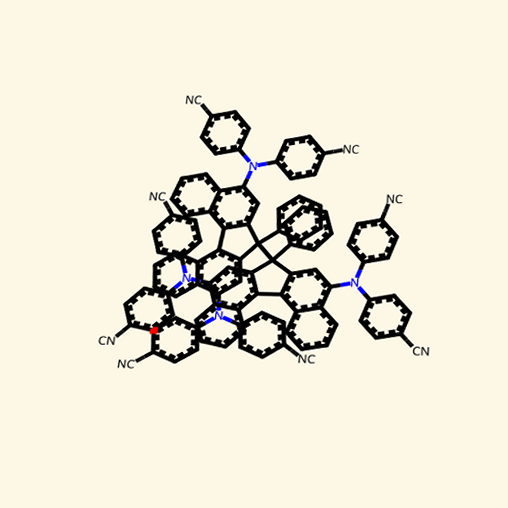 [C-]#[N+]c1ccc(N(c2ccc(C#N)cc2)c2cc3c(c4ccccc24)-c2c(cc(N(c4ccc(C#N)cc4)c4ccc([N+]#[C-])cc4)c4ccccc24)C3(c2ccccc2)C2(c3ccccc3)c3cc(N(c4ccc(C#N)cc4)c4ccc([N+]#[C-])cc4)c4ccccc4c3-c3c2cc(N(c2ccc(C#N)cc2)c2ccc([N+]#[C-])cc2)c2ccccc32)cc1